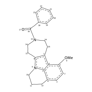 COc1ccc2c3c1c1c(n3CCC2)CCN(C(=O)c2ccccc2)CC1